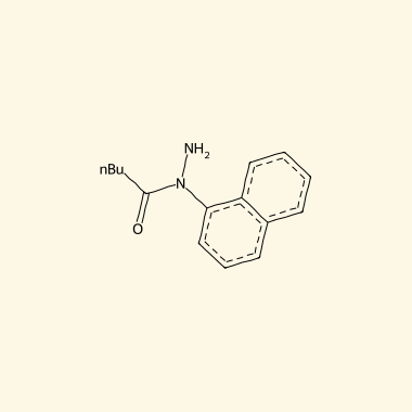 CCCCC(=O)N(N)c1cccc2ccccc12